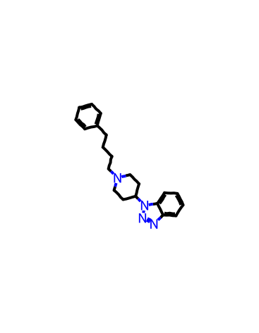 c1ccc(CCCCN2CCC(n3nnc4ccccc43)CC2)cc1